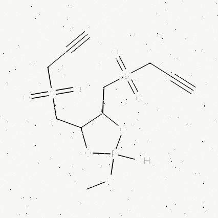 C#CCS(=O)(=O)CC1O[P](O)(OC)OC1CS(=O)(=O)CC#C